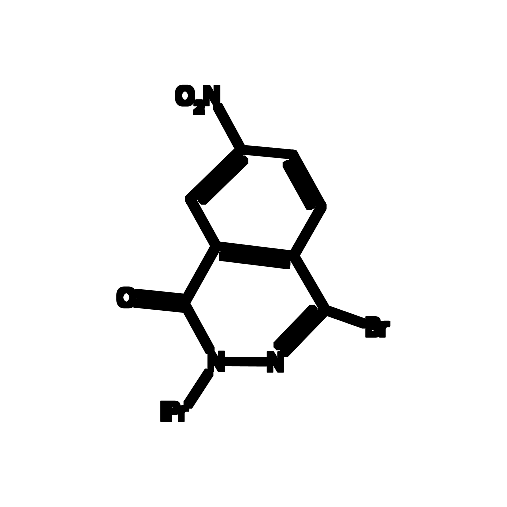 CC(C)n1nc(Br)c2ccc([N+](=O)[O-])cc2c1=O